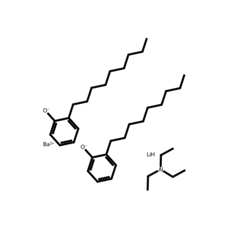 CCCCCCCCCc1ccccc1[O-].CCCCCCCCCc1ccccc1[O-].C[CH2][Al]([CH2]C)[CH2]C.[Ba+2].[LiH]